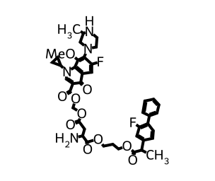 COc1c(N2CCNC(C)C2)c(F)cc2c(=O)c(C(=O)OCOC(=O)CC(N)C(=O)OCCCOC(=O)C(C)c3ccc(-c4ccccc4)c(F)c3)cn(C3CC3)c12